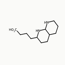 O=C(O)CCCC1CCC2CCCNC2N1